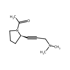 CC(=O)N1CCC[C@@H]1C#CCN(C)C